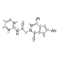 CCCc1cc2c(C(C)C)nn(CC(=O)Nc3ncccn3)c(=O)c2s1